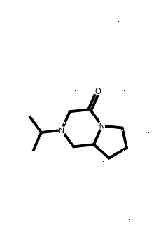 CC(C)N1CC(=O)N2CCCC2C1